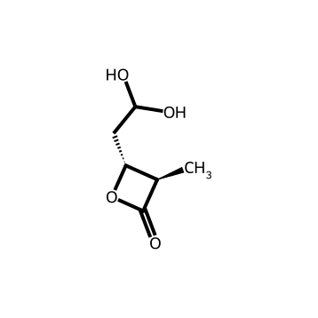 C[C@H]1C(=O)O[C@@H]1CC(O)O